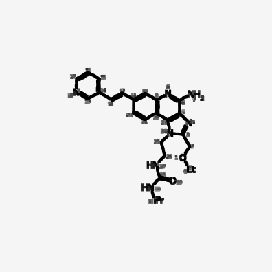 CCOCc1nc2c(N)nc3cc(/C=C/c4cccnc4)ccc3c2n1CCNC(=O)NC(C)C